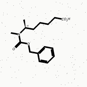 C[C@@H](CCCCC(=O)O)N(C)C(=O)OCc1ccccc1